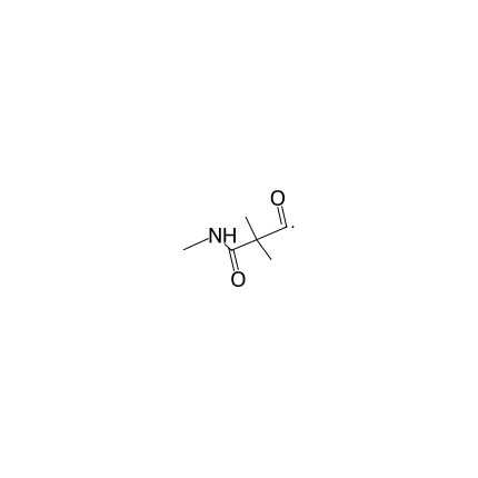 CNC(=O)C(C)(C)[C]=O